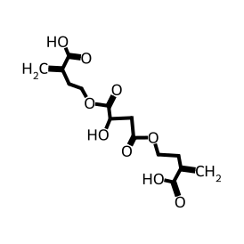 C=C(CCOC(=O)CC(O)C(=O)OCCC(=C)C(=O)O)C(=O)O